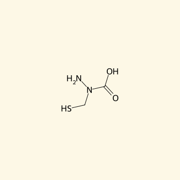 NN(CS)C(=O)O